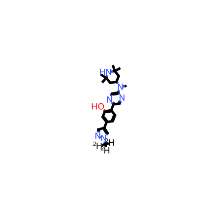 [2H]C([2H])([2H])n1cc(-c2ccc(-c3cnc(N(C)C4CC(C)(C)NC(C)(C)C4)cn3)c(O)c2)cn1